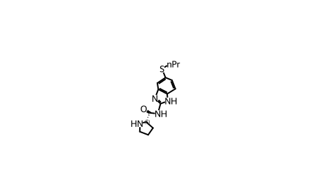 CCCSc1ccc2[nH]c(NC(=O)[C@@H]3CCCN3)nc2c1